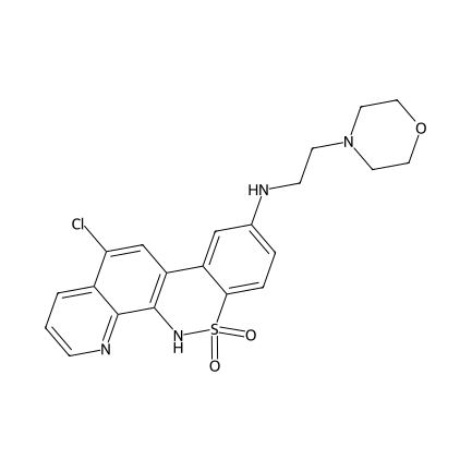 O=S1(=O)Nc2c(cc(Cl)c3cccnc23)-c2cc(NCCN3CCOCC3)ccc21